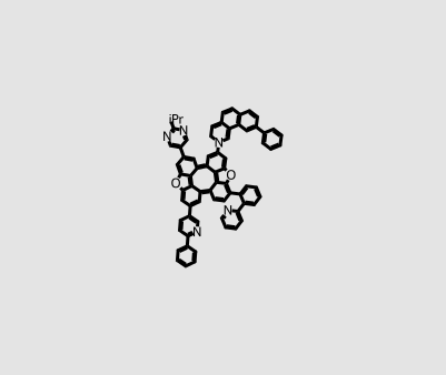 CC(C)c1ncc(-c2cc3oc4cc(-c5ccc(-c6ccccc6)nc5)cc5c6ccc(-c7ccccc7-c7ccccn7)c7oc8cc(N9C=c%10c(ccc%11ccc(-c%12ccccc%12)cc%10%11)=CC9)cc(c(c2)c3c45)c8c76)cn1